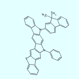 CC1(C)c2ccccc2-c2ccc(-n3c4ccccc4c4cc5c6cc7sc8ccccc8c7cc6n(-c6ccccc6)c5cc43)cc21